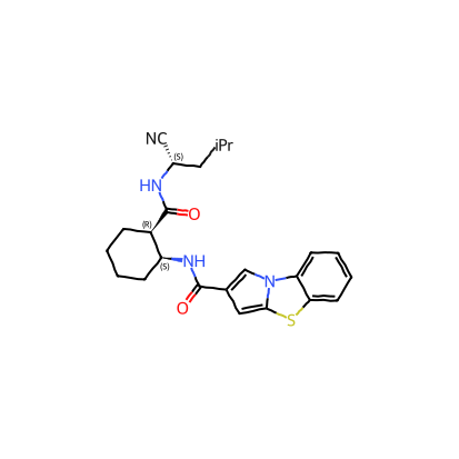 CC(C)C[C@@H](C#N)NC(=O)[C@@H]1CCCC[C@@H]1NC(=O)c1cc2sc3ccccc3n2c1